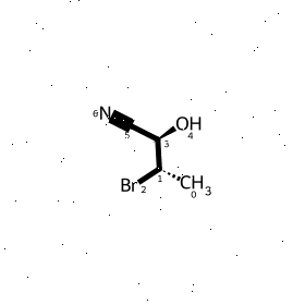 C[C@H](Br)[C@H](O)C#N